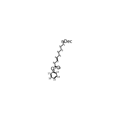 CCCCCCCCCCCCCCC/C=C/CC(=O)Oc1ccccc1